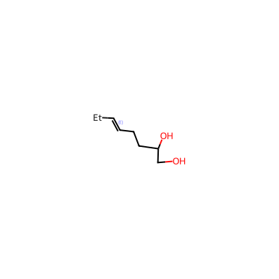 CC/C=C/CCC(O)CO